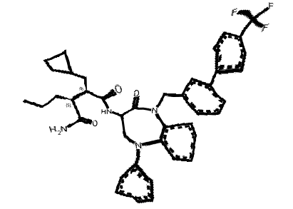 CCC[C@H](C(N)=O)[C@@H](CC1CCC1)C(=O)NC1CN(c2ccccc2)c2ccccc2N(Cc2cccc(-c3ccc(C(F)(F)F)cc3)c2)C1=O